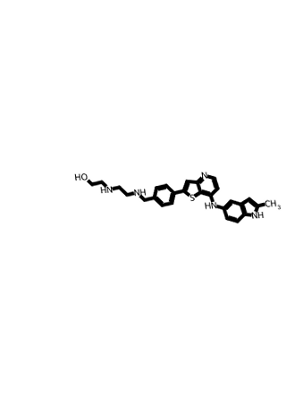 Cc1cc2cc(Nc3ccnc4cc(-c5ccc(CNCCNCCO)cc5)sc34)ccc2[nH]1